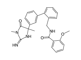 COc1ccccc1C(=O)NCc1ccccc1-c1cccc(C2(C)NC(=N)N(C)C2=O)c1